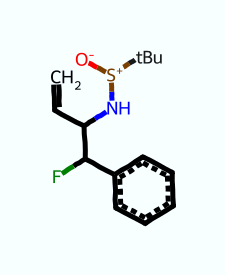 C=CC(N[S+]([O-])C(C)(C)C)C(F)c1ccccc1